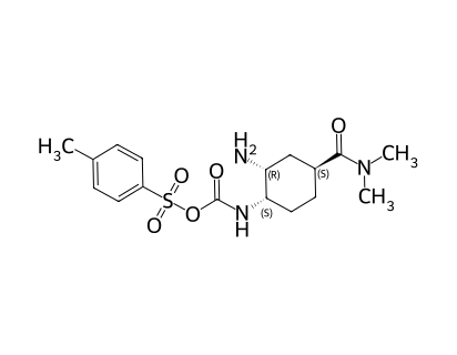 Cc1ccc(S(=O)(=O)OC(=O)N[C@H]2CC[C@H](C(=O)N(C)C)C[C@H]2N)cc1